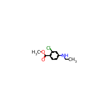 CCNc1ccc(C(=O)OC)c(Cl)c1